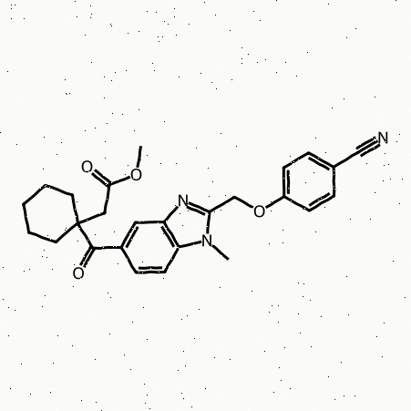 COC(=O)CC1(C(=O)c2ccc3c(c2)nc(COc2ccc(C#N)cc2)n3C)CCCCC1